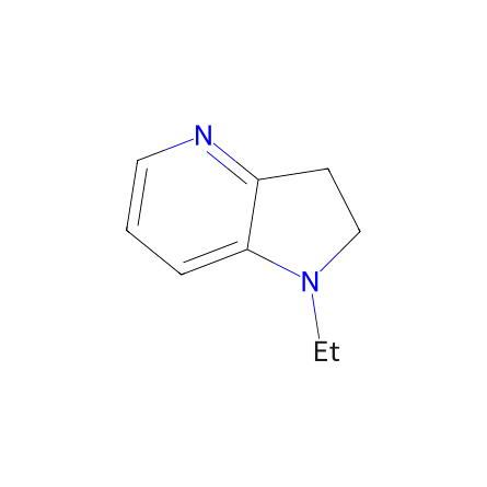 CCN1CCc2ncccc21